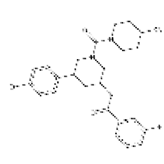 CCc1ccc(C2CC(NC(=O)c3cccc(F)c3)CN(C(=O)N3CCC(C#N)CC3)C2)cc1